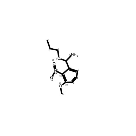 CCCOC(N)c1cccc(OC)c1[N+](=O)[O-]